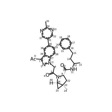 CC(=O)c1nn(CC(=O)N2[C@H](C(=O)NC(C)CCc3ccccc3)C[C@@]3(C)C[C@@H]23)c2ccc(-c3cnc(C)nc3)cc12